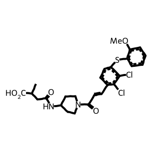 COc1ccccc1Sc1ccc(C=CC(=O)N2CCC(NC(=O)CC(C)C(=O)O)CC2)c(Cl)c1Cl